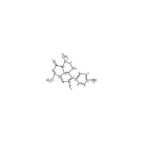 Cc1cc(=O)n2c3c(c(-c4ccc(O)cc4)c(F)cc13)OCC2C